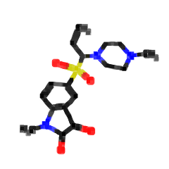 C=CC(N1CCN(C)CC1)S(=O)(=O)c1ccc2c(c1)C(=O)C(=O)N2C